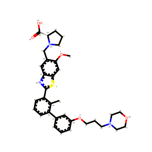 COc1cc2sc(-c3cccc(-c4cccc(OCCCN5CCOCC5)c4)c3C)nc2cc1CN1CCC[C@H]1C(=O)O